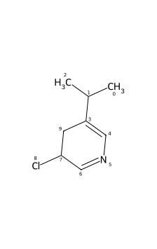 CC(C)C1=CN=CC(Cl)C1